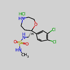 CNS(=O)(=O)NC[C@]1(c2ccc(Cl)c(Cl)c2)CCNCCO1.Cl